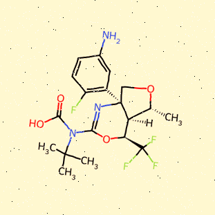 C[C@H]1OC[C@]2(c3cc(N)ccc3F)N=C(N(C(=O)O)C(C)(C)C)O[C@H](C(F)(F)F)[C@H]12